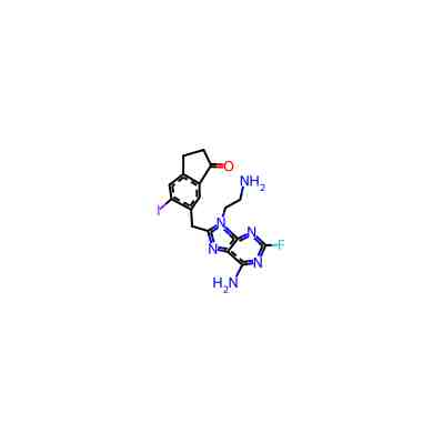 NCCn1c(Cc2cc3c(cc2I)CCC3=O)nc2c(N)nc(F)nc21